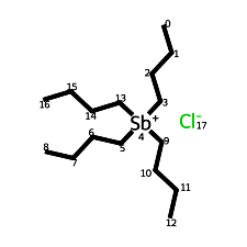 CCC[CH2][Sb+]([CH2]CCC)([CH2]CCC)[CH2]CCC.[Cl-]